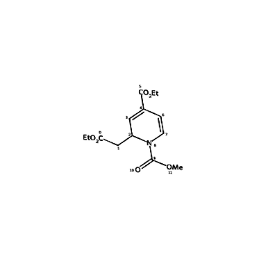 CCOC(=O)CC1C=C(C(=O)OCC)C=CN1C(=O)OC